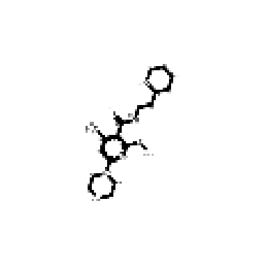 CCSc1nc(N2CCOCC2)cc(C)c1C(=O)NCCC1CCCCO1